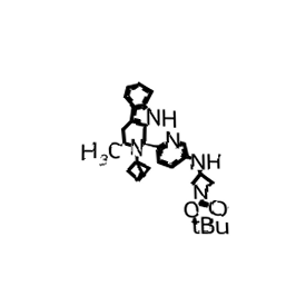 C[C@@H]1Cc2c([nH]c3ccccc23)[C@@H](c2ccc(NC3CN(C(=O)OC(C)(C)C)C3)cn2)N1C12CC(C1)C2